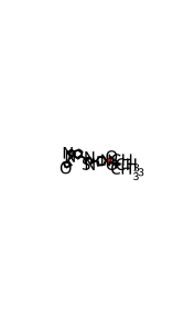 CC(C)(C)OC(=O)N1CC=C(c2nsc(-c3ccc4cnn(C5COC5)c4c3)n2)CC1